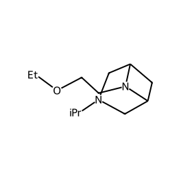 CCOCCN1C2CC1CN(C(C)C)C2